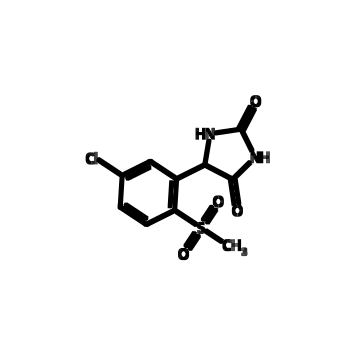 CS(=O)(=O)c1ccc(Cl)cc1C1NC(=O)NC1=O